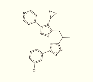 CC(Cc1nnc(-c2ccncc2)n1C1CC1)c1noc(-c2cccc(Cl)c2)n1